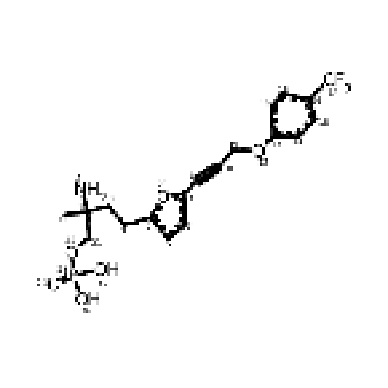 CC(N)(CCc1ccc(C#CCOc2ccc(C(F)(F)F)cc2)o1)COP(=O)(O)O